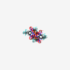 O=C(C(=O)N(c1c([N+](=O)[O-])cc(C(F)(F)F)cc1[N+](=O)[O-])S(=O)(=O)C(F)(F)F)N(c1c([N+](=O)[O-])cc(C(F)(F)F)cc1[N+](=O)[O-])S(=O)(=O)C(F)(F)F